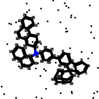 c1ccc2c(c1)-c1ccc(-c3ccc(N(c4ccc5c(ccc6ccccc65)c4)c4cccc5ccccc45)cc3)cc1C21C2CC3CC(C2)CC1C3